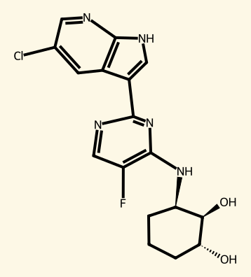 O[C@H]1[C@H](O)CCC[C@H]1Nc1nc(-c2c[nH]c3ncc(Cl)cc23)ncc1F